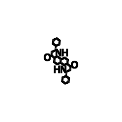 O=c1cc(-c2ccccc2)[nH]c2c1ccc1c2ccc2c(=O)cc(-c3ccccc3)[nH]c21